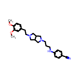 COc1ccc(CCN2CC3CN(CCCNc4ccc(C#N)cc4)CC3C2)cc1OC